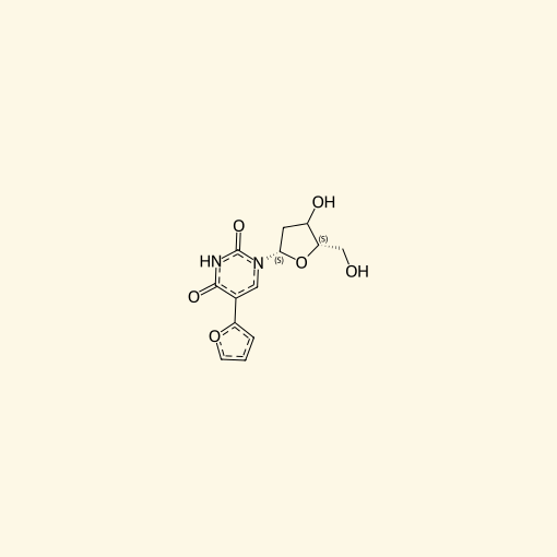 O=c1[nH]c(=O)n([C@@H]2CC(O)[C@H](CO)O2)cc1-c1ccco1